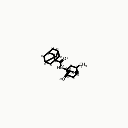 CC1CC2(NC(=O)C34CC5CC(CC(C5)C3)C4)CCC1NC2=O